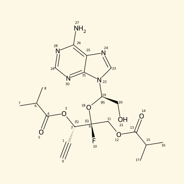 C#C[C@H](OC(=O)C(C)C)[C@@](F)(COC(=O)C(C)C)O[C@H](CO)n1cnc2c(N)ncnc21